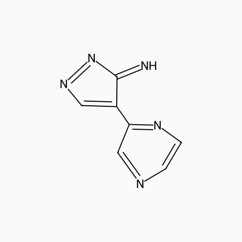 N=C1N=NC=C1c1cnccn1